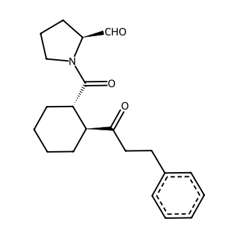 O=C[C@@H]1CCCN1C(=O)[C@H]1CCCC[C@@H]1C(=O)CCc1ccccc1